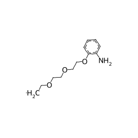 [CH2]COCCOCCOc1ccccc1N